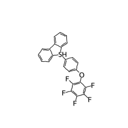 Fc1c(F)c(F)c(Oc2ccc([SH]3c4ccccc4-c4ccccc43)cc2)c(F)c1F